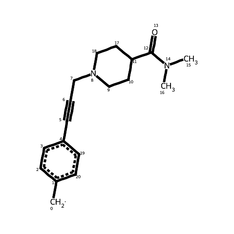 [CH2]c1ccc(C#CCN2CCC(C(=O)N(C)C)CC2)cc1